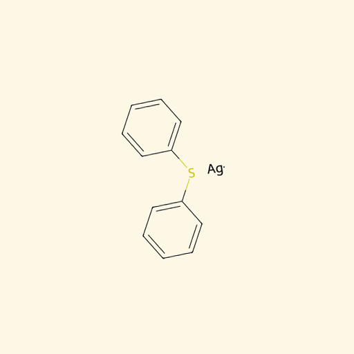 [Ag].c1ccc(Sc2ccccc2)cc1